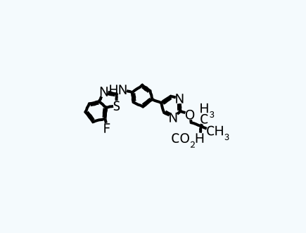 CC(C)(COc1ncc(-c2ccc(Nc3nc4cccc(F)c4s3)cc2)cn1)C(=O)O